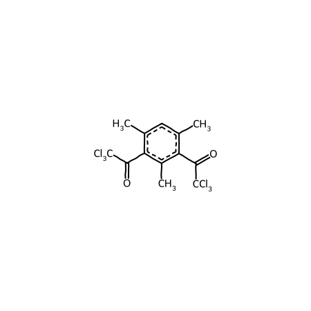 Cc1cc(C)c(C(=O)C(Cl)(Cl)Cl)c(C)c1C(=O)C(Cl)(Cl)Cl